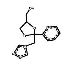 OCC1COC(Cn2cnnc2)(c2ccccn2)O1